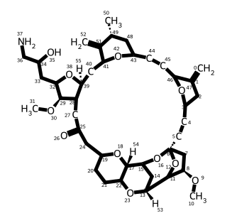 C=C1CC2CC[C@]34C[C@@H](OC)C(O3)[C@H]3CC(O4)[C@H]4OC(CCC4O3)CC(=O)CC3[C@@H](OC)C(CC(O)CN)O[C@H]3CC3OC(CCC1O2)C[C@@H](C)C3=C